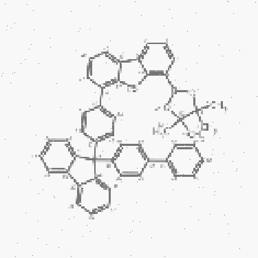 CC1(C)OB(c2cccc3c2sc2c(-c4ccc(C5(c6ccc(-c7ccccc7)cc6)c6ccccc6-c6ccccc65)cc4)cccc23)OC1(C)C